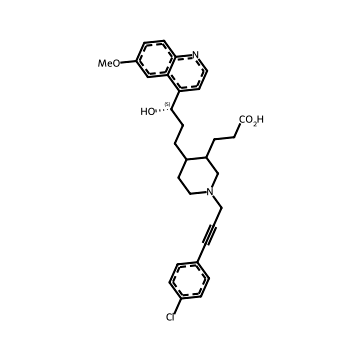 COc1ccc2nccc([C@@H](O)CCC3CCN(CC#Cc4ccc(Cl)cc4)CC3CCC(=O)O)c2c1